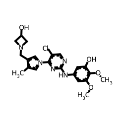 COc1cc(Nc2ncc(Cl)c(-n3cc(C)c(CN4CC(O)C4)c3)n2)cc(O)c1OC